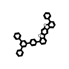 c1ccc(-c2cc(-c3ccccc3)cc(-c3ccc(-c4cccc5c4oc4cc6oc7c(-c8ccccc8)cccc7c6cc45)cc3)c2)cc1